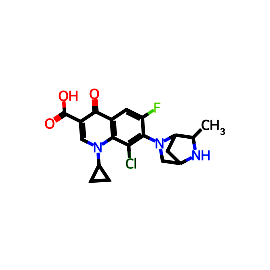 CC1NC2CC1N(c1c(F)cc3c(=O)c(C(=O)O)cn(C4CC4)c3c1Cl)C2